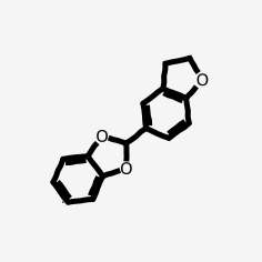 [c]1ccc2c(c1)OC(c1ccc3c(c1)CCO3)O2